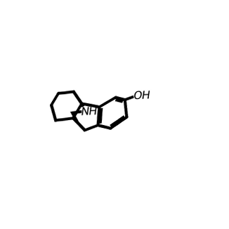 Oc1ccc2c(c1)C13CCCCC1(CCN3)C2